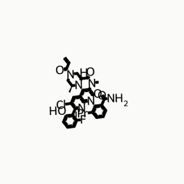 C=CC(=O)N1C[C@@H]2C(=O)N(C)c3c(c4cc(Cl)c(-c5c(O)cccc5F)nc4n(-c4c(C(N)=O)cccc4C(C)C)c3=O)N2[C@@H](C)C1